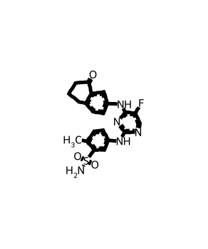 Cc1ccc(Nc2ncc(F)c(Nc3ccc4c(c3)C(=O)CCC4)n2)cc1S(N)(=O)=O